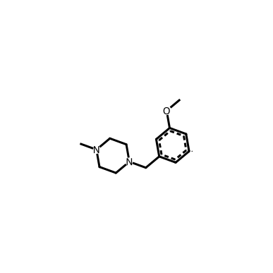 COc1c[c]cc(CN2CCN(C)CC2)c1